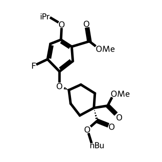 CCCCOC(=O)[C@]1(C(=O)OC)CC[C@H](Oc2cc(C(=O)OC)c(OC(C)C)cc2F)CC1